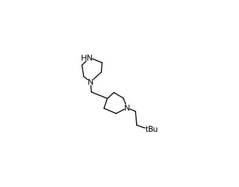 CC(C)(C)CCN1CCC(CN2CCNCC2)CC1